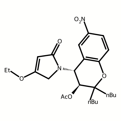 CCCCC1(CCCC)Oc2ccc([N+](=O)[O-])cc2[C@@H](N2CC(OCC)=CC2=O)[C@@H]1OC(C)=O